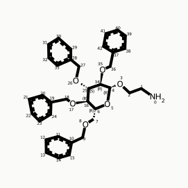 NCCO[C@@H]1O[C@H](COCc2ccccc2)[C@@H](OCc2ccccc2)[C@H](OCc2ccccc2)[C@H]1OCc1ccccc1